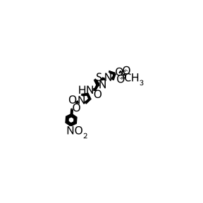 CS(=O)(=O)OC1CN(c2nc(C(=O)N[C@H]3CCN(C(=O)OCc4ccc([N+](=O)[O-])cc4)C3)cs2)C1